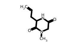 C=CCC1NC(=O)CN(C)C1=O